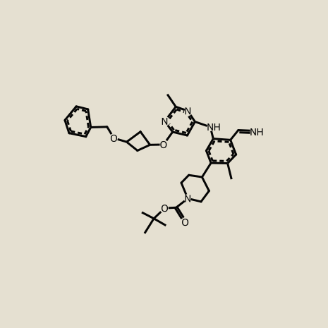 Cc1nc(Nc2cc(C3CCN(C(=O)OC(C)(C)C)CC3)c(C)cc2C=N)cc(OC2CC(OCc3ccccc3)C2)n1